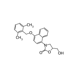 Cc1cccc(C)c1COc1ccc(N2CC(CO)OC2=O)c2ccccc12